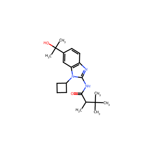 CC(C(=O)Nc1nc2ccc(C(C)(C)O)cc2n1C1CCC1)C(C)(C)C